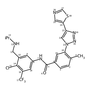 Cc1ccc(C(=O)Nc2cc(CNC(C)C)c(Cl)c(C(F)(F)F)c2)cc1-n1cc(-c2cncs2)nn1